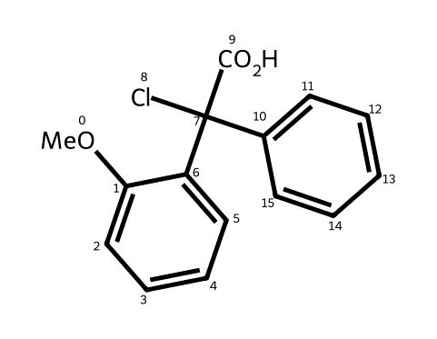 COc1ccccc1C(Cl)(C(=O)O)c1ccccc1